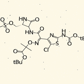 CC(C)(C)OC(=O)Nc1nc(/C(=N/OC(C)(C)C(=O)OC(C)(C)C)C(=O)NC2C(=O)N[C@H]2COS(C)(=O)=O)c(Cl)s1